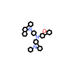 c1ccc(-n2c3ccccc3c3cc(N(c4ccc(-n5c6ccccc6c6ccc7ccccc7c65)cc4)c4ccc5c(c4)oc4ccccc45)ccc32)cc1